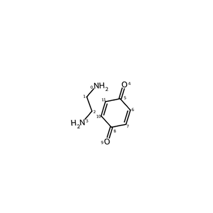 NCCN.O=C1C=CC(=O)C=C1